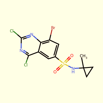 CC1(NS(=O)(=O)c2cc(Br)c3nc(Cl)nc(Cl)c3c2)CC1